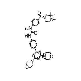 CN1CCN(C(=O)c2ccc(NC(=O)Nc3ccc(-c4nc(N5CCOCC5)nc(N5C6CCC5COC6)n4)cc3)cc2)CC1(C)C